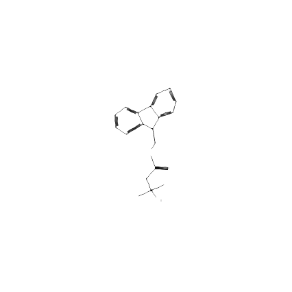 CC(C)(O)CC(=O)OCC1c2ccccc2-c2ccccc21